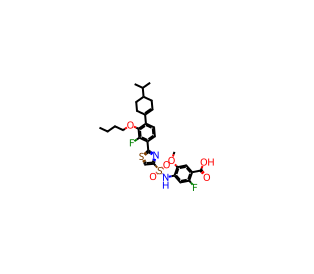 CCCCOc1c(C2=CCC(C(C)C)CC2)ccc(-c2nc(S(=O)(=O)Nc3cc(F)c(C(=O)O)cc3OC)cs2)c1F